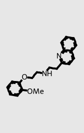 COc1ccccc1OCCNCCc1ccc2ccccc2n1